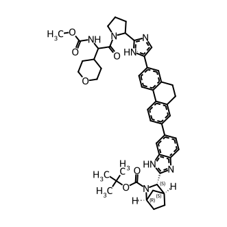 COC(=O)NC(C(=O)N1CCCC1c1ncc(-c2ccc3c(c2)CCc2cc(-c4ccc5nc([C@@H]6[C@H]7CC[C@H](C7)N6C(=O)OC(C)(C)C)[nH]c5c4)ccc2-3)[nH]1)C1CCOCC1